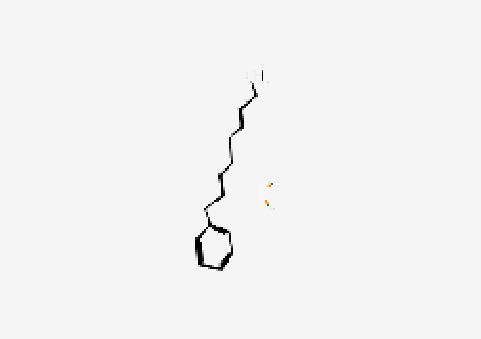 CCCCCCCCCc1ccccc1.Cl[P]Cl